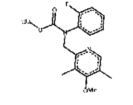 COc1c(C)cnc(CN(C(=O)OC(C)(C)C)c2ccccc2F)c1C